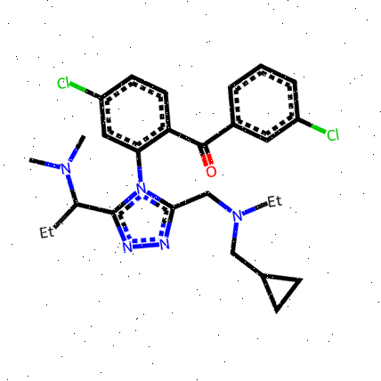 CCC(c1nnc(CN(CC)CC2CC2)n1-c1cc(Cl)ccc1C(=O)c1cccc(Cl)c1)N(C)C